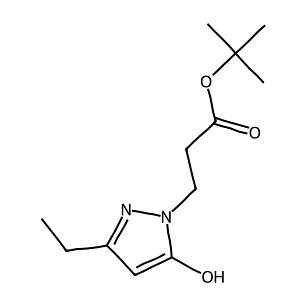 CCc1cc(O)n(CCC(=O)OC(C)(C)C)n1